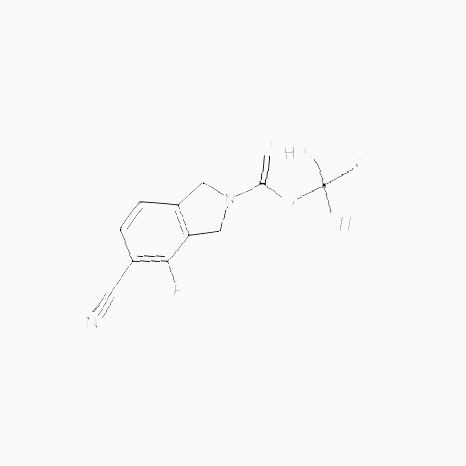 CC(C)(C)OC(=O)N1Cc2ccc(C#N)c(F)c2C1